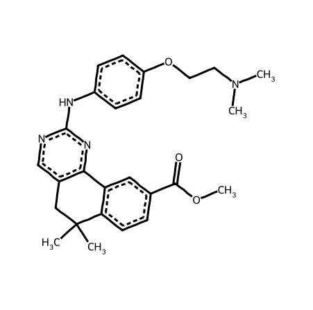 COC(=O)c1ccc2c(c1)-c1nc(Nc3ccc(OCCN(C)C)cc3)ncc1CC2(C)C